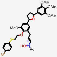 COc1cc(C2CCC(c3cc(OC)c(OC)c(OC)c3)O2)cc(C/C=C/N(O)C(C)=O)c1OCCSc1ccc(Br)cc1